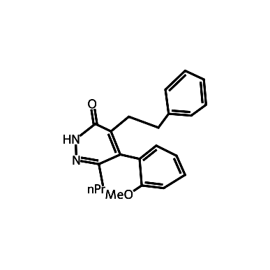 CCCc1n[nH]c(=O)c(CCc2ccccc2)c1-c1ccccc1OC